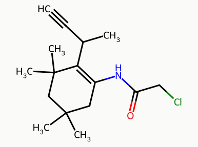 C#CC(C)C1=C(NC(=O)CCl)CC(C)(C)CC1(C)C